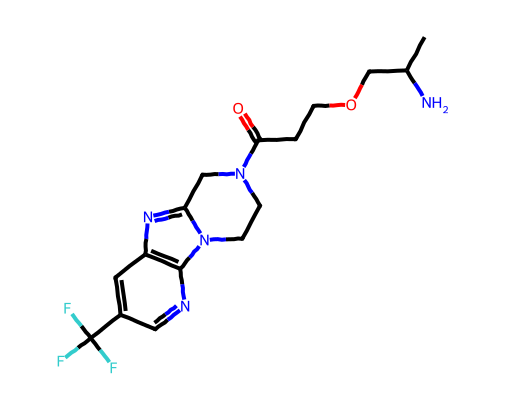 CC(N)COCCC(=O)N1CCn2c(nc3cc(C(F)(F)F)cnc32)C1